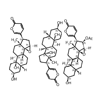 CC(=O)O[C@H]1[C@H]2O[C@]23[C@@H]2CC[C@@H]4C[C@@H](O)CC[C@]4(C)[C@H]2CC[C@]3(C)[C@H]1c1ccc(=O)oc1.C[C@]12CC[C@H](O)C[C@H]1CC[C@@H]1[C@@H]2CC[C@]2(C)[C@@H](c3ccc(=O)oc3)CC[C@]12O.C[C@]12CC[C@H](O)C[C@H]1CC[C@@H]1[C@@H]2CC[C@]2(C)[C@@H](c3ccc(=O)oc3)C[C@H]3O[C@]132